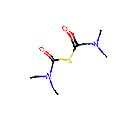 CN(C)C(=O)SC(=O)N(C)C